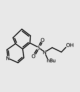 CCCCN(CCO)S(=O)(=O)c1cccc2cnccc12